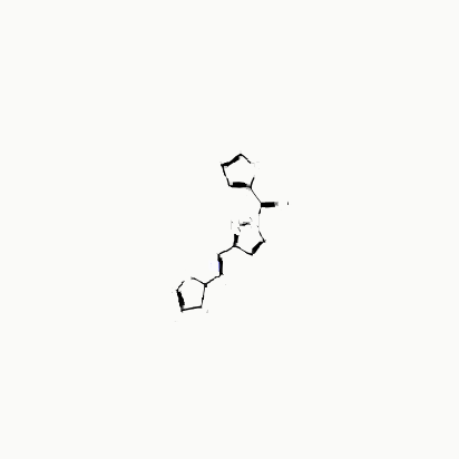 O=C(c1cccs1)n1ccc(/C=C/C2CC=CS2)n1